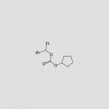 CCC(OC(=O)OC1CCCC1)C(C)C